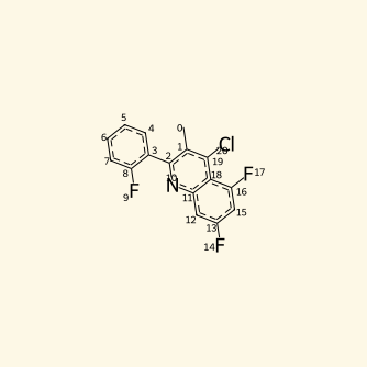 Cc1c(-c2ccccc2F)nc2cc(F)cc(F)c2c1Cl